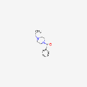 [CH2]CN1CCN(C(=O)c2ccccc2)CC1